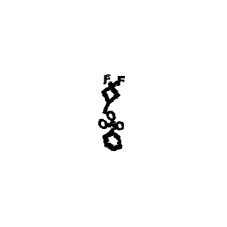 O=S(=O)(OCC1CC(F)(F)C1)c1ccccc1